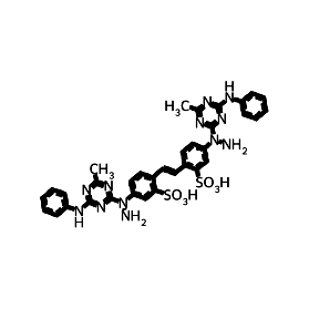 Cc1nc(Nc2ccccc2)nc(N(N)c2ccc(C=Cc3ccc(N(N)c4nc(C)nc(Nc5ccccc5)n4)cc3S(=O)(=O)O)c(S(=O)(=O)O)c2)n1